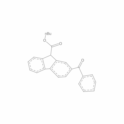 CCCCOC(=O)C1c2ccccc2-c2ccc(C(=O)c3ccccc3)cc21